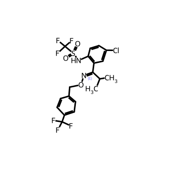 CC(C)/C(=N\OCc1ccc(C(F)(F)F)cc1)c1cc(Cl)ccc1NS(=O)(=O)C(F)(F)F